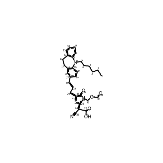 CCCCCCN1c2ccccc2CCc2cc(/C=C/C=c3/s/c(=C(\C#N)C(=O)O)n(COC=O)c3=O)ccc21